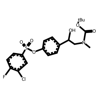 CN(CC(O)c1ccc(OS(=O)(=O)c2ccc(F)c(Cl)c2)cc1)C(=O)OC(C)(C)C